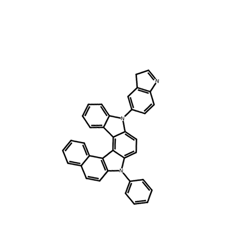 C1=Nc2ccc(-n3c4ccccc4c4c5c6c7ccccc7ccc6n(-c6ccccc6)c5ccc43)cc2C1